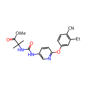 CCc1cc(Oc2ccc(NC(=O)NC(C)(C)C(=O)OC)cn2)ccc1C#N